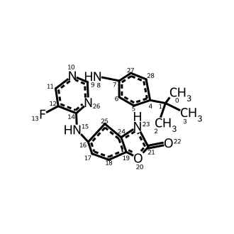 CC(C)(C)c1ccc(Nc2ncc(F)c(Nc3ccc4oc(=O)[nH]c4c3)n2)cc1